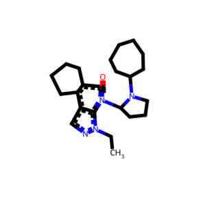 CCn1ncc2c3c(c(=O)n(C4CCCN4C4CCCCCC4)c21)CCCC3